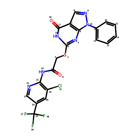 O=C(CSc1nc2c(cnn2-c2ccccc2)c(=O)[nH]1)Nc1ncc(C(F)(F)F)cc1Cl